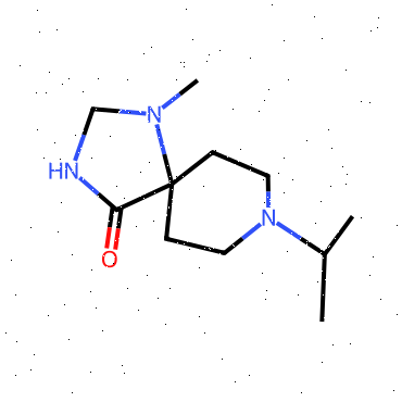 CC(C)N1CCC2(CC1)C(=O)NCN2C